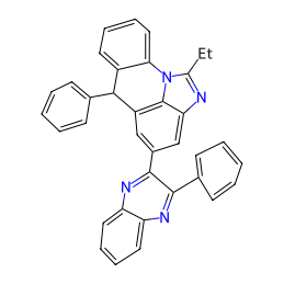 CCc1nc2cc(-c3nc4ccccc4nc3-c3ccccc3)cc3c2n1-c1ccccc1C3c1ccccc1